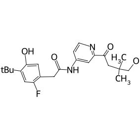 CC(C)(CO)CC(=O)c1cc(NC(=O)Cc2cc(O)c(C(C)(C)C)cc2F)ccn1